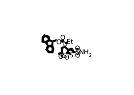 CCN(C(=O)OCC1c2ccccc2-c2ccccc21)[C@H]1CC(C)S(=O)(=O)c2sc(S(N)(=O)=O)cc21